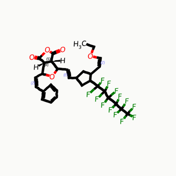 CCO/C=C\C1CC(/C=C/C2OC(/C=C\c3ccccc3)[C@@H]3C(=O)OC(=O)[C@H]23)CC1C(F)(F)C(F)(F)C(F)(F)C(F)(F)C(F)(F)C(F)(F)F